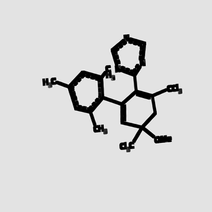 COC1(C(Cl)(Cl)Cl)C=C(c2c(C)cc(C)cc2C)C(c2ncncn2)=C(C(Cl)(Cl)Cl)C1